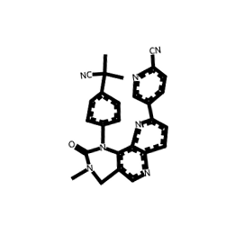 CN1Cc2cnc3ccc(-c4ccc(C#N)nc4)nc3c2N(c2ccc(C(C)(C)C#N)cc2)C1=O